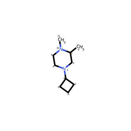 CC1CN(C2CCC2)CCN1C